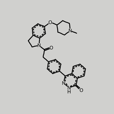 CN1CCC(Oc2ccc3c(c2)N(C(=O)Cc2ccc(-c4n[nH]c(=O)c5ccccc45)cc2)CC3)CC1